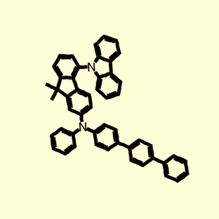 CC1(C)c2cc(N(c3ccccc3)c3ccc(-c4ccc(-c5ccccc5)cc4)cc3)ccc2-c2c(-n3c4ccccc4c4ccccc43)cccc21